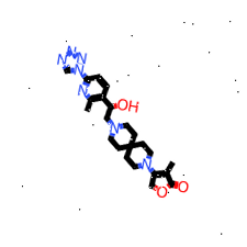 CC1=C(N2CCC3(CCN(CC(O)c4ccc(-n5cnnn5)nc4C)CC3)CC2)COC1=O